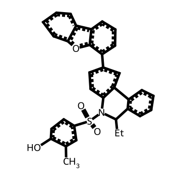 CCC1c2ccccc2-c2cc(-c3cccc4c3oc3ccccc34)ccc2N1S(=O)(=O)c1ccc(O)c(C)c1